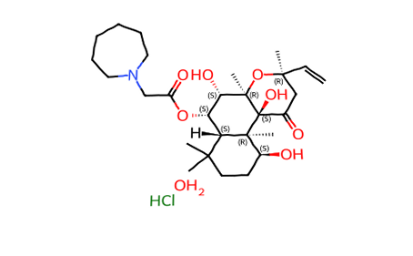 C=C[C@@]1(C)CC(=O)[C@]2(O)[C@@]3(C)[C@@H](O)CCC(C)(C)[C@@H]3[C@H](OC(=O)CN3CCCCCC3)[C@H](O)[C@@]2(C)O1.Cl.O